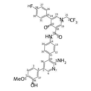 COc1ccc(-c2cnc(N)c(-c3ccc(NC(=O)c4cn(CC(F)(F)F)cc(-c5ccc(F)cc5)c4=O)cc3)c2)cc1O